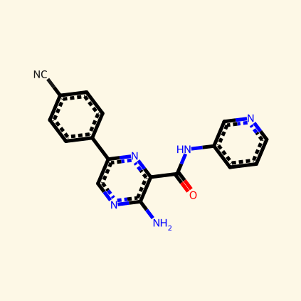 N#Cc1ccc(-c2cnc(N)c(C(=O)Nc3cccnc3)n2)cc1